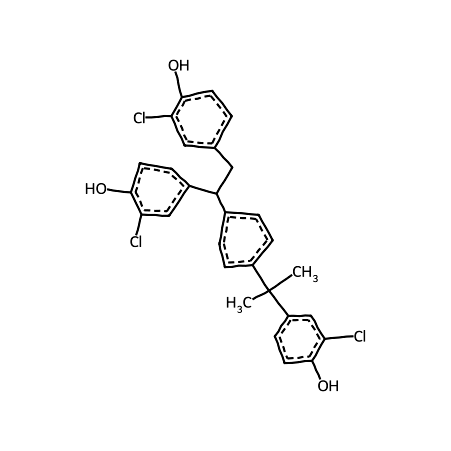 CC(C)(c1ccc(C(Cc2ccc(O)c(Cl)c2)c2ccc(O)c(Cl)c2)cc1)c1ccc(O)c(Cl)c1